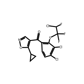 O=C(c1cnoc1C1CC1)c1ccc(Cl)c(Cl)c1SC(F)(F)C(F)Cl